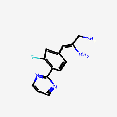 NCC(N)=Cc1ccc(-c2ncccn2)c(F)c1